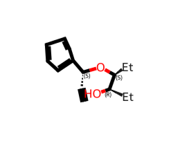 C#C[C@@H](O[C@@H](CC)[C@H](O)CC)c1ccccc1